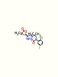 C[C@@H]1C[C@@H]([C@@H](N)CN2CC(=O)N(c3cc(F)ccc3Cl)CC2(C)C)OC1=O